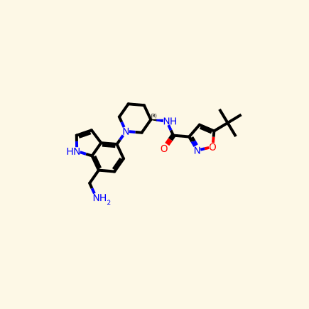 CC(C)(C)c1cc(C(=O)N[C@@H]2CCCN(c3ccc(CN)c4[nH]ccc34)C2)no1